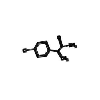 C=C(C(N)=O)c1ccc(Cl)cc1